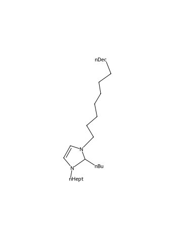 CCCCCCCCCCCCCCCCCN1C=CN(CCCCCCC)C1CCCC